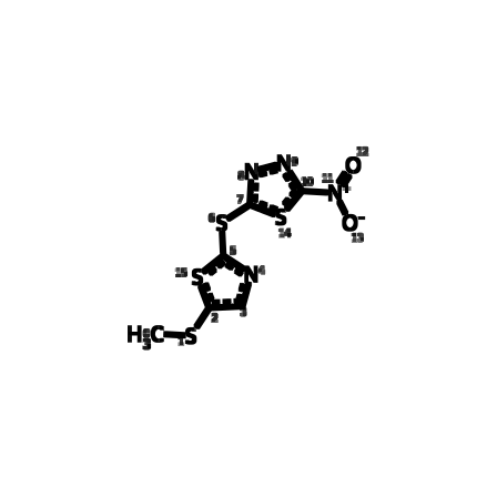 CSc1cnc(Sc2nnc([N+](=O)[O-])s2)s1